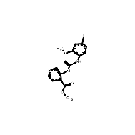 COC(=O)c1ccncc1NC(=O)Nc1ccc(I)cc1OC